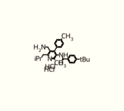 Cc1ccc(-c2c(CN)c(CC(C)C)nc(C)c2NC(=O)c2ccc(C(C)(C)C)cc2)cc1.Cl.Cl